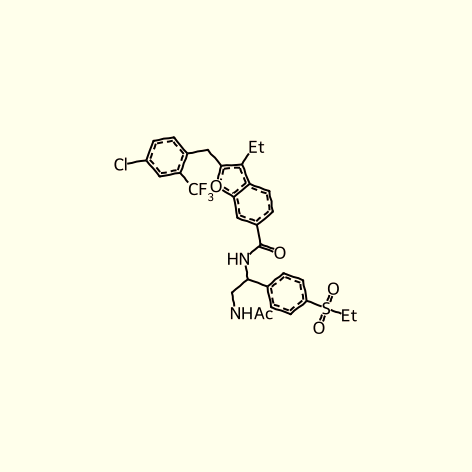 CCc1c(Cc2ccc(Cl)cc2C(F)(F)F)oc2cc(C(=O)NC(CNC(C)=O)c3ccc(S(=O)(=O)CC)cc3)ccc12